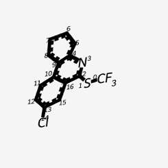 FC(F)(F)Sc1nc2ccccc2c2ccc(Cl)cc12